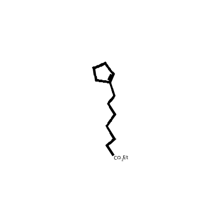 CCOC(=O)CCCCCCC1=CCCC1